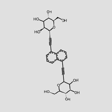 OCC1OC(C#Cc2cccc3c(C#CC4O[C@H](CO)[C@@H](O)C(O)[C@@H]4O)cccc23)C(O)C(O)[C@@H]1O